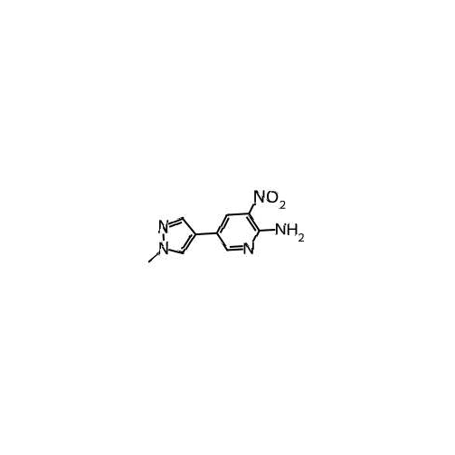 Cn1cc(-c2cnc(N)c([N+](=O)[O-])c2)cn1